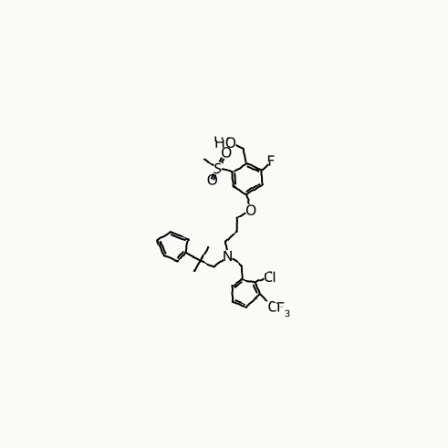 CC(C)(CN(CCCOc1cc(F)c(CO)c(S(C)(=O)=O)c1)Cc1cccc(C(F)(F)F)c1Cl)c1ccccc1